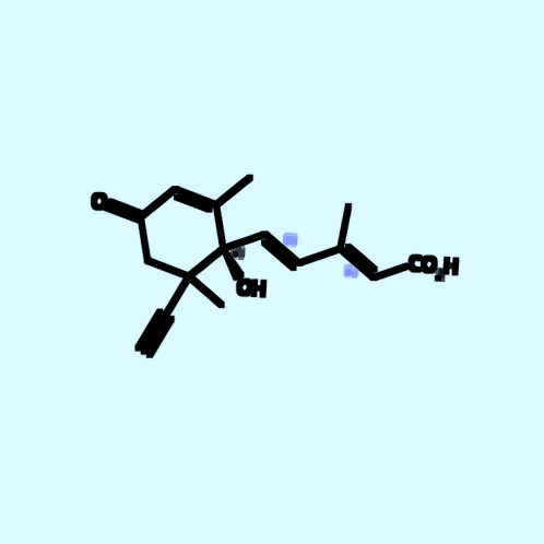 C#CC1(C)CC(=O)C=C(C)[C@]1(O)/C=C/C(C)=C/C(=O)O